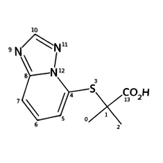 CC(C)(Sc1cccc2ncnn12)C(=O)O